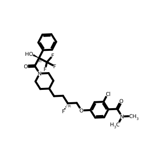 CN(C)C(=O)c1ccc(OC[C@H](F)CCC2CCN(C(=O)[C@](O)(c3ccccc3)C(F)(F)F)CC2)cc1Cl